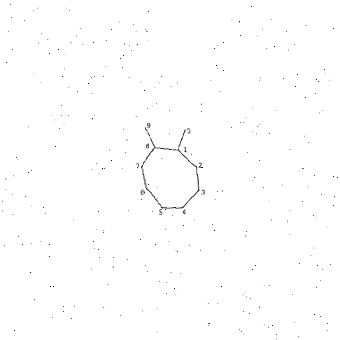 CC1CCCCCCC1C